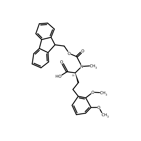 COc1cccc(CC[C@@H](C(=O)O)N(C)C(=O)OCC2c3ccccc3-c3ccccc32)c1OC